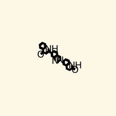 O=C1CCc2cc(N3C=Nc4cc(-c5cc(=O)c6ccccc6[nH]5)ccc4C3)ccc2N1